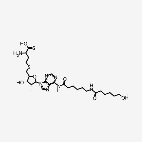 C[C@H]1C(n2cnc3c(NC(=O)CCCCCNC(=O)CCCCCO)ncnc32)OC(CSCCC(N)C(O)=S)[C@H]1O